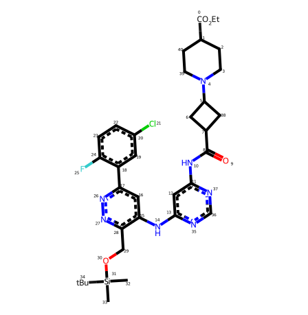 CCOC(=O)C1CCN(C2CC(C(=O)Nc3cc(Nc4cc(-c5cc(Cl)ccc5F)nnc4CO[Si](C)(C)C(C)(C)C)ncn3)C2)CC1